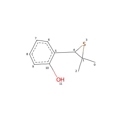 CC1(C)SC1c1ccccc1O